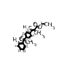 CCOC(=O)/C(C)=C(\C)c1ccc(C(C)(C)c2ccccc2)cc1